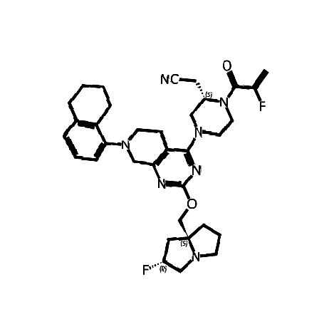 C=C(F)C(=O)N1CCN(c2nc(OC[C@@]34CCCN3C[C@H](F)C4)nc3c2CCN(c2cccc4c2CCCC4)C3)C[C@@H]1CC#N